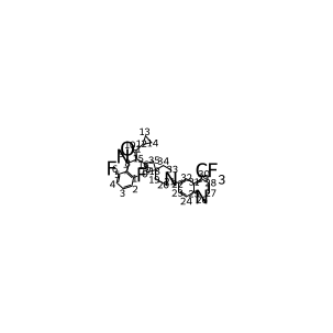 Fc1cccc(F)c1-c1noc(C2CC2)c1C1=CC2(CCN(c3ccc4nccc(C(F)(F)F)c4c3)CC2)C1